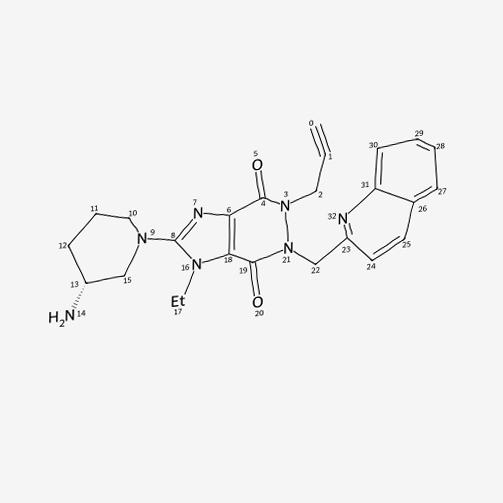 C#CCn1c(=O)c2nc(N3CCC[C@@H](N)C3)n(CC)c2c(=O)n1Cc1ccc2ccccc2n1